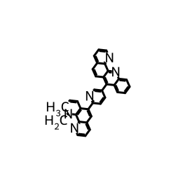 C=Nc1c(/C=C\C)c(-c2ccc(-c3c4ccccc4nc4c3ccc3cccnc34)cn2)cc2cccnc12